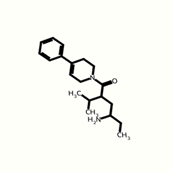 CCC(N)CC(C(=O)N1CC=C(c2ccccc2)CC1)C(C)C